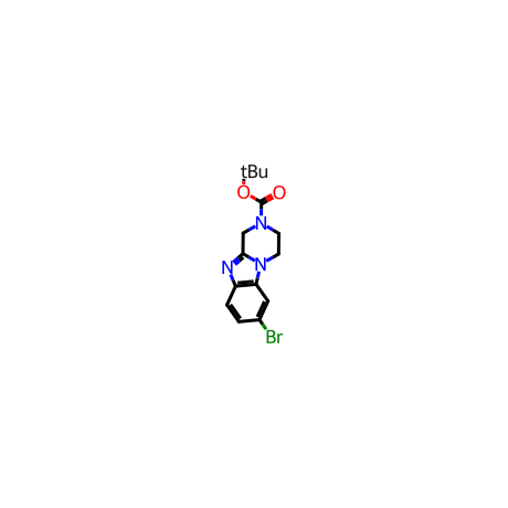 CC(C)(C)OC(=O)N1CCn2c(nc3ccc(Br)cc32)C1